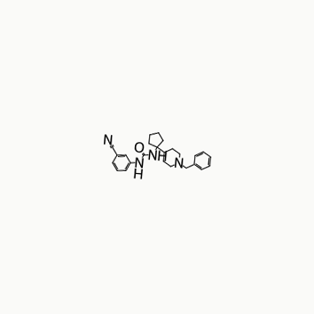 N#Cc1cccc(NC(=O)NC2(C3CCN(Cc4ccccc4)CC3)CCCC2)c1